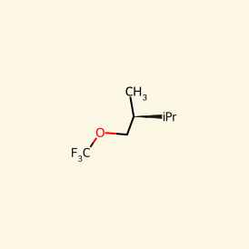 CC(C)[C@H](C)COC(F)(F)F